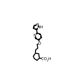 O=C(O)C1CCCC(CCCOc2ccc(-c3ccn[nH]3)nc2)C1